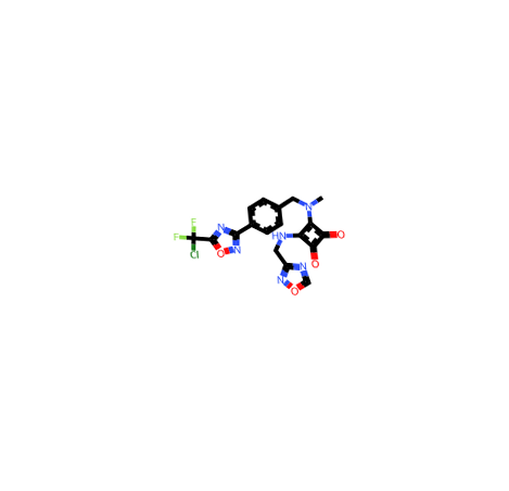 CN(Cc1ccc(-c2noc(C(F)(F)Cl)n2)cc1)c1c(NCc2ncon2)c(=O)c1=O